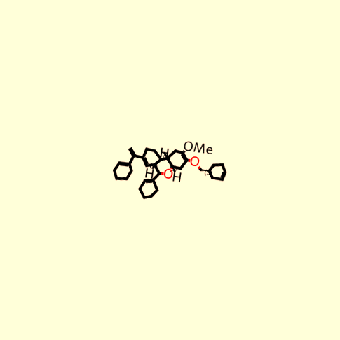 C=C(C1=CCCCC1)C1=C[C@H]2C(C3=CCCCC3)O[C@H]3CC(OC[C@@H]4CC=CCC4)=C(OC)C[C@H]3C2CC1